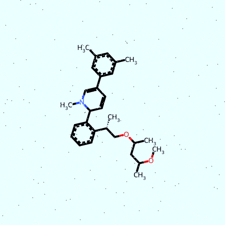 COC(C)CC(C)OC[C@@H](C)c1ccccc1C1C=CC(c2cc(C)cc(C)c2)=CN1C